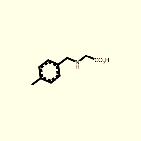 Cc1ccc(CNCC(=O)O)cc1